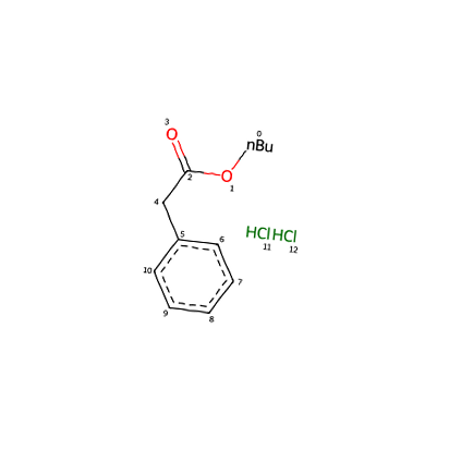 CCCCOC(=O)Cc1ccccc1.Cl.Cl